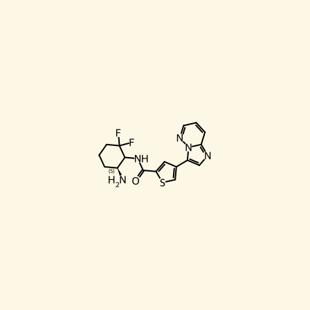 N[C@H]1CCCC(F)(F)C1NC(=O)c1cc(-c2cnc3cccnn23)cs1